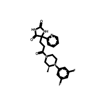 C[C@H]1CN(C(=O)CCC2(c3ccccn3)NC(=O)NC2=O)CCN1c1cc(F)cc(F)c1